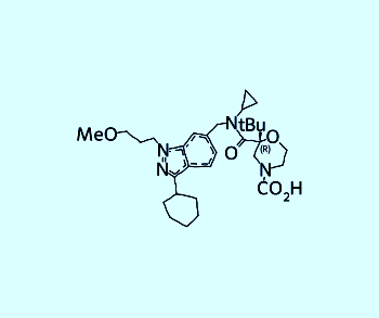 COCCCn1nc(C2CCCCC2)c2ccc(CN(C(=O)[C@@]3(C(C)(C)C)CN(C(=O)O)CCO3)C3CC3)cc21